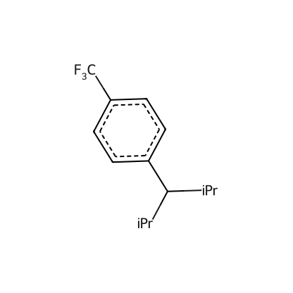 CC(C)C(c1ccc(C(F)(F)F)cc1)C(C)C